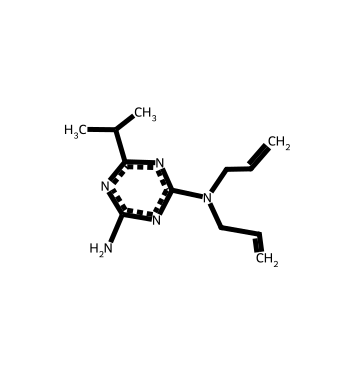 C=CCN(CC=C)c1nc(N)nc(C(C)C)n1